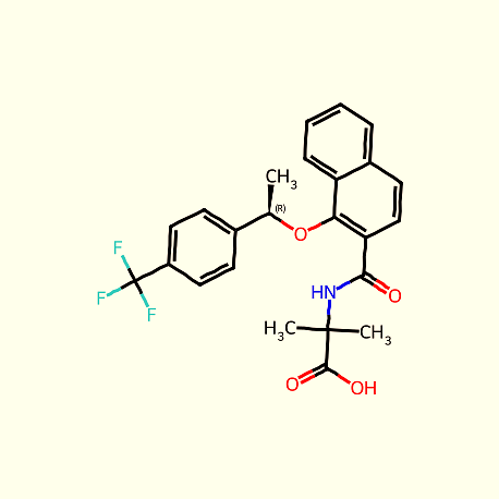 C[C@@H](Oc1c(C(=O)NC(C)(C)C(=O)O)ccc2ccccc12)c1ccc(C(F)(F)F)cc1